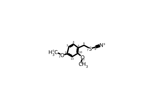 COc1ccc(CSC#N)c(OC)c1